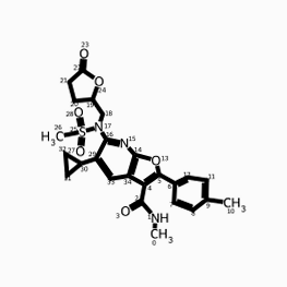 CNC(=O)c1c(-c2ccc(C)cc2)oc2nc(N(CC3CCC(=O)O3)S(C)(=O)=O)c(C3CC3)cc12